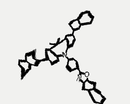 CC1(C)c2cc(-c3ccc4ccccc4c3)ccc2N(c2ccc(-c3nc4cc5ccccc5cc4o3)cc2)c2ccc(-c3ccc4ccccc4c3)cc21